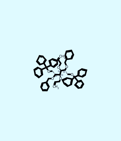 C=CCO[C@H]([C@@H](OCC=C)[C@@H](COC(c1ccccc1)(c1ccccc1)c1ccccc1)OCc1ccccc1)[C@@H](COC(c1ccccc1)(c1ccccc1)c1ccccc1)OCc1ccccc1